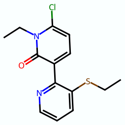 CCSc1cccnc1-c1ccc(Cl)n(CC)c1=O